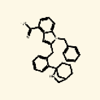 NC(=O)c1cccc2c1cc(Cc1ccccc1C13CCCC(CN1)C3)n2Cc1ccccc1